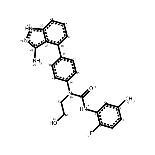 Cc1ccc(F)c(NC(=O)N(CCO)c2ccc(-c3cccc4[nH]nc(N)c34)cc2)c1